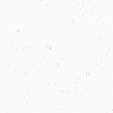 CCC(C)N1CC2CC(C)(C)C1CCN2C(C)C